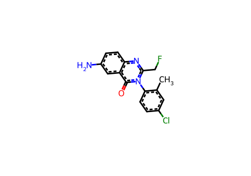 Cc1cc(Cl)ccc1-n1c(CF)nc2ccc(N)cc2c1=O